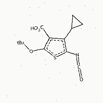 CC(C)(C)Oc1sc(N=C=O)c(C2CC2)c1C(=O)O